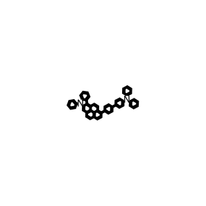 c1ccc(N(c2ccccc2)c2ccc(-c3ccc(-c4ccc5ccc6cc7c(c8ccc4c5c68)c4ccccc4n7-c4ccccc4)cc3)cc2)cc1